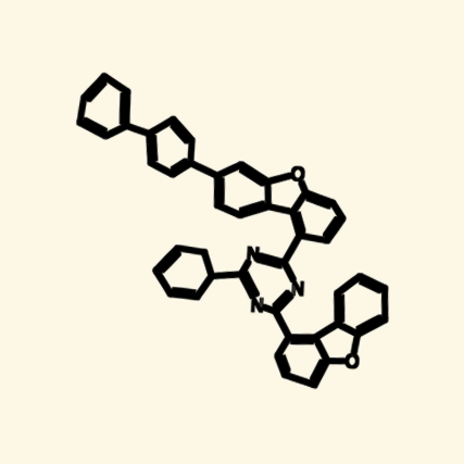 C1=CCC(c2nc(-c3cccc4oc5ccccc5c34)nc(-c3cccc4oc5cc(-c6ccc(-c7ccccc7)cc6)ccc5c34)n2)C=C1